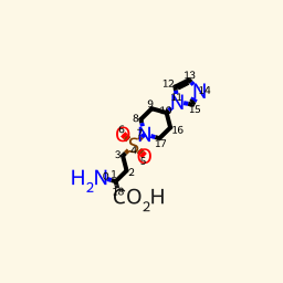 NC(CCS(=O)(=O)N1CCC(n2ccnc2)CC1)C(=O)O